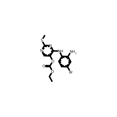 CCOC(=O)Oc1cnc(SC)nc1Nc1ccc(Br)cc1N